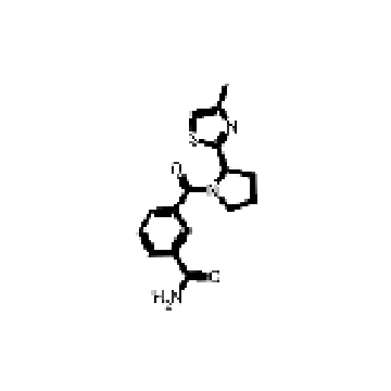 Cc1csc(C2CCCN2C(=O)c2cccc(C(N)=O)c2)n1